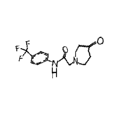 O=C1CCN(CC(=O)Nc2ccc(C(F)(F)F)cc2)CC1